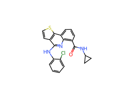 O=C(NC1CC1)c1cccc2c1nc(Nc1ccccc1Cl)c1ccsc12